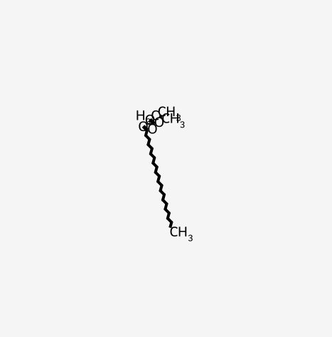 CCCCCCCCCCCCCCCCCCCCCCC(=O)OC(=O)OC(C)(C)C